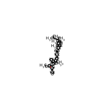 COc1ccc(C2(c3ccc(N4CCOCC4)cc3)C=Cc3c4c(c5ccccc5c3O2)-c2cc(N3CCN(C(=O)O[C@H]5CC[C@@]6(C)C(=CC[C@H]7[C@@H]8CC[C@H]([C@H](C)CCCC(C)C)[C@@]8(C)CC[C@@H]76)C5)CC3)ccc2C4(C)C)cc1